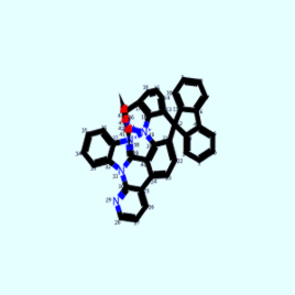 c1ccc2c(c1)-c1ccccc1C21c2cccc3c2[N+]2(c4c1ccc1c5cccnc5n5c6ccccc6[n+]2c5c41)[n+]1ccccc1-3